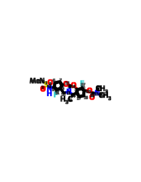 CNS(=O)(=O)Nc1cccc(CN2C(=O)Oc3c(ccc(OC(=O)N(C)C)c3F)[C@H]2C)c1F